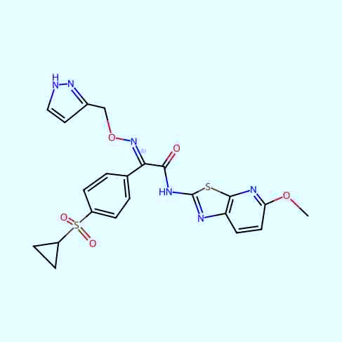 COc1ccc2nc(NC(=O)/C(=N/OCc3cc[nH]n3)c3ccc(S(=O)(=O)C4CC4)cc3)sc2n1